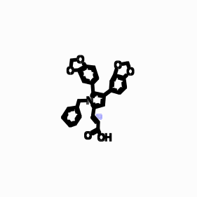 O=C(O)/C=C/c1cc(-c2ccc3c(c2)OCO3)c(-c2ccc3c(c2)OCO3)n1Cc1ccccc1